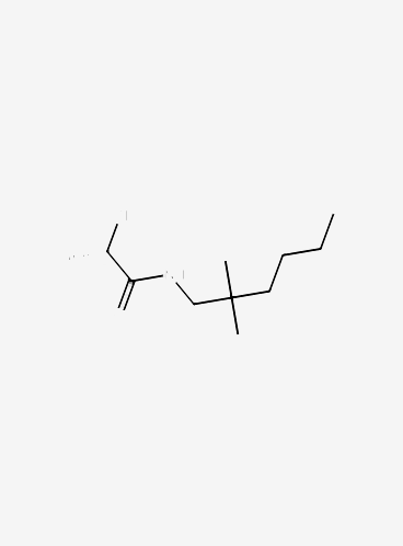 CCCCC(C)(C)CNC(=O)[C@H](C)Cl